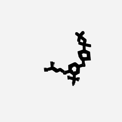 CC(C)(C)CC(C)(C)c1ccc(Oc2ccc(OCC=C(Br)Br)c(C(F)(F)F)c2)cc1